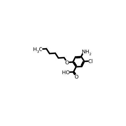 CCCCCCOc1cc(N)c(Cl)cc1C(=O)O